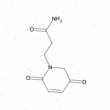 NC(=O)CCN1CC(=O)C=CC1=O